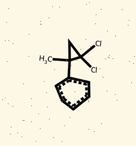 CC1(c2ccccc2)CC1(Cl)Cl